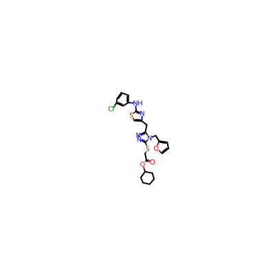 O=C(CSc1nnc(Cc2csc(Nc3cccc(Cl)c3)n2)n1Cc1ccco1)OC1CCCCC1